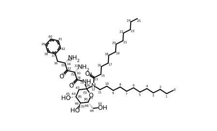 CCCCCCCCCCCCN(C(=O)CCCCCCCCCCC)[C@@]1(NC(=O)[C@@H](N)C(=O)[C@@H](N)Cc2ccccc2)C[C@@H](O)[C@H](O)[C@@H](CO)O1